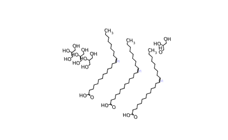 CCCCCCCC/C=C\CCCCCCCCCCCC(=O)O.CCCCCCCC/C=C\CCCCCCCCCCCC(=O)O.CCCCCCCC/C=C\CCCCCCCCCCCC(=O)O.OCC(O)CO.OCC(O)CO.OCC(O)CO.OCC(O)CO